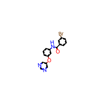 O=C(Nc1cccc(Oc2cncnc2)c1)c1cccc(Br)c1